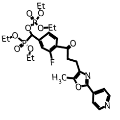 CCOP(=O)(OCC)OC(c1ccc(C(=O)CCc2nc(-c3ccncc3)oc2C)c(F)c1)P(=O)(OCC)OCC